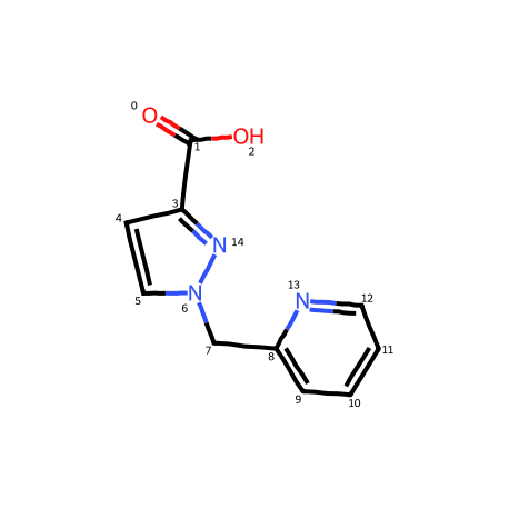 O=C(O)c1ccn(Cc2ccccn2)n1